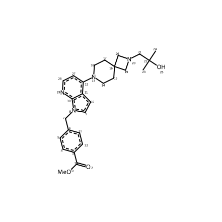 COC(=O)c1ccc(Cn2ccc3c(N4CCC5(CC4)CN(CC(C)(C)O)C5)ccnc32)cc1